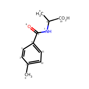 Cc1ccc(C(=O)NC(C)C(=O)O)cc1